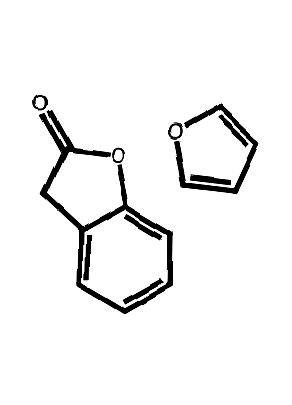 O=C1Cc2ccccc2O1.c1ccoc1